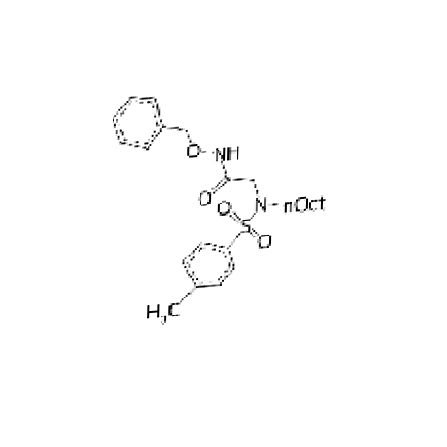 CCCCCCCCN(CC(=O)NOCc1ccccc1)S(=O)(=O)c1ccc(C)cc1